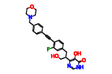 O=c1[nH]cnc(C(CO)Cc2ccc(C#Cc3ccc(CN4CCOCC4)cc3)c(F)c2)c1O